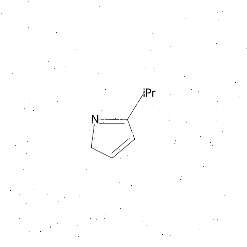 CC(C)C1=NCC=C1